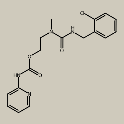 CN(CCOC(=O)Nc1ccccn1)C(=O)NCc1ccccc1Cl